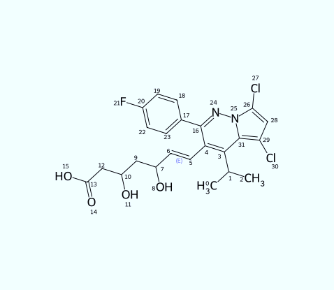 CC(C)c1c(/C=C/C(O)CC(O)CC(=O)O)c(-c2ccc(F)cc2)nn2c(Cl)cc(Cl)c12